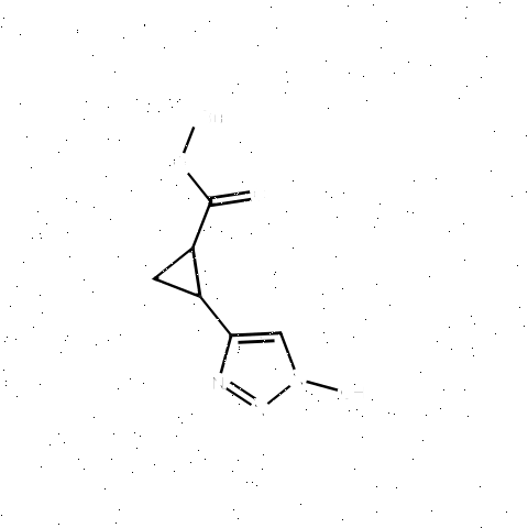 Cn1cc(C2CC2C(=O)OC(C)(C)C)nn1